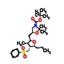 C=CC[C@@H]1O[C@H](C[C@H]2CN(C(=O)OC(C)(C)C)C(C)(C)O2)[C@H](C)[C@H]1CS(=O)(=O)c1ccccc1